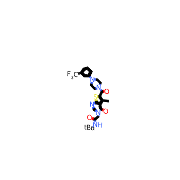 Cc1c(C(=O)N2CCN(c3cccc(C(F)(F)F)c3)CC2)sc2ncn(CC(=O)NC(C)(C)C)c(=O)c12